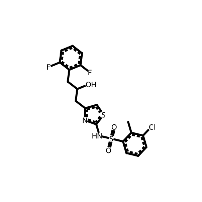 Cc1c(Cl)cccc1S(=O)(=O)Nc1nc(CC(O)Cc2c(F)cccc2F)cs1